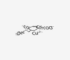 C=CC(=O)[O-].CCCCCCCCCCCCCCCCCC(=O)[O-].[Cu+2]